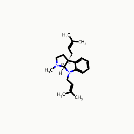 CC(C)=CCN1c2ccccc2[C@]2(CC=C(C)C)CCN(C)[C@H]12